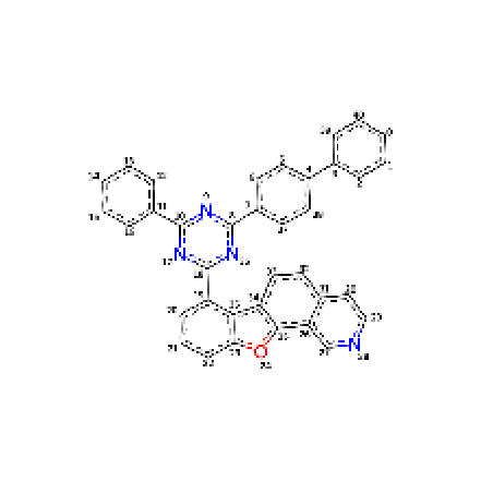 c1ccc(-c2ccc(-c3nc(-c4ccccc4)nc(-c4cccc5oc6c7cnccc7ccc6c45)n3)cc2)cc1